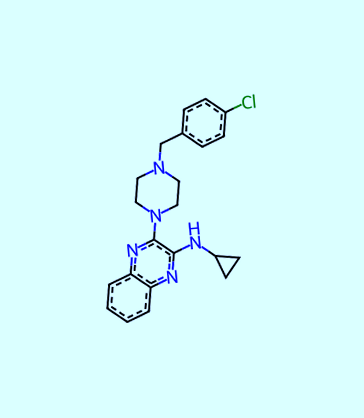 Clc1ccc(CN2CCN(c3nc4ccccc4nc3NC3CC3)CC2)cc1